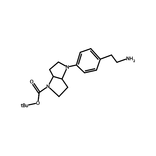 CC(C)(C)OC(=O)N1CCC2C1CCN2c1ccc(CCN)cc1